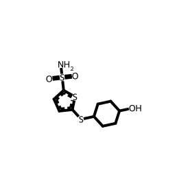 NS(=O)(=O)c1ccc(SC2CCC(O)CC2)s1